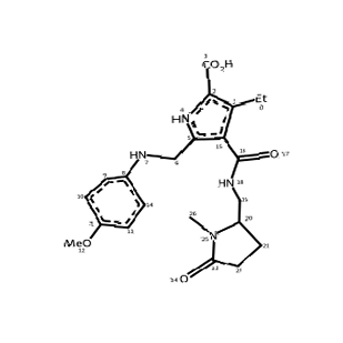 CCc1c(C(=O)O)[nH]c(CNc2ccc(OC)cc2)c1C(=O)NCC1CCC(=O)N1C